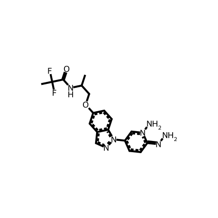 CC(COc1ccc2c(cnn2-c2cc/c(=N/N)n(N)c2)c1)NC(=O)C(C)(F)F